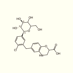 O=C(O)C1CNc2cc(Cc3cc([C@@H]4OC(CO)C(O)[C@H](O)[C@H]4O)ccc3Cl)ccc2O1